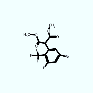 COC(=O)C(C(=O)OC)c1cc(Br)cc(F)c1C(F)(F)F